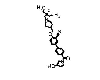 CCC(F)(CC)CN1CCC(COc2ccc(-c3ccc(C(=O)N4CCC(O)C4)cc3)cc2C#N)CC1